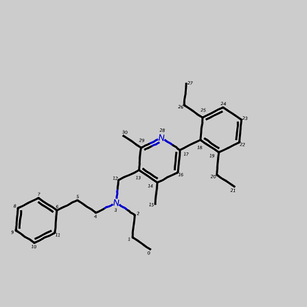 CCCN(CCc1ccccc1)Cc1c(C)cc(-c2c(CC)cccc2CC)nc1C